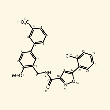 COc1ccc(-c2cccc(C(=O)O)c2)cc1CNC(=O)c1cc(-c2ccccc2Cl)on1